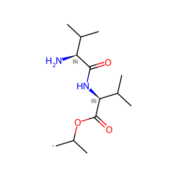 [CH2]C(C)OC(=O)[C@@H](NC(=O)[C@@H](N)C(C)C)C(C)C